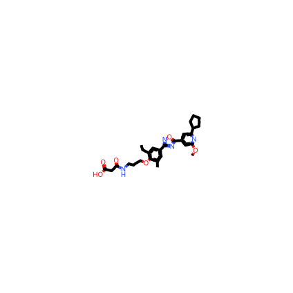 CCc1cc(-c2noc(-c3cc(OC)nc(C4CCCC4)c3)n2)cc(C)c1OCCCNC(=O)CC(=O)O